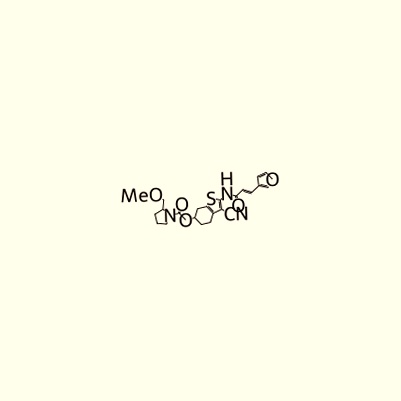 COCC1CCCN1C(=O)OC1CCc2c(sc(NC(=O)C=Cc3ccoc3)c2C#N)C1